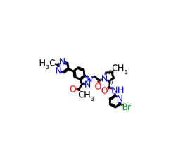 CC(=O)c1nn(CC(=O)N2C[C@H](C)C[C@H]2C(=O)Nc2cccc(Br)n2)c2ccc(-c3cnc(C)nc3)cc12